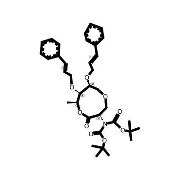 C[C@@H]1OC(=O)[C@@H](N(C(=O)OC(C)(C)C)C(=O)OC(C)(C)C)COC[C@H](OC/C=C/c2ccccc2)[C@H]1OC/C=C/c1ccccc1